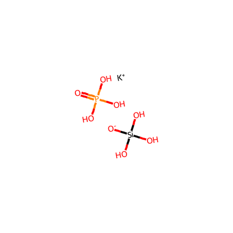 O=P(O)(O)O.[K+].[O-][Si](O)(O)O